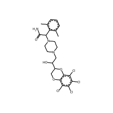 Cc1cccc(C)c1C(C(N)=O)N1CCN(CC(O)C2COc3c(Cl)c(Cl)c(Cl)c(Cl)c3O2)CC1